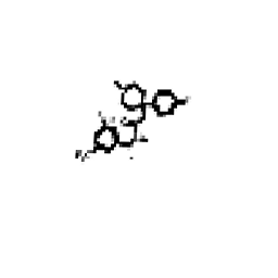 C[C@H](c1cc(C(F)(F)F)cc(C(F)(F)F)c1)N(C)C(=O)CC1(c2ccc(F)cc2)CCN(C)CC1